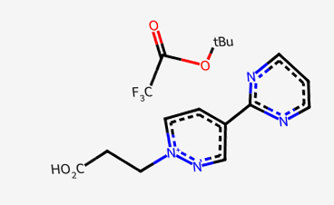 CC(C)(C)OC(=O)C(F)(F)F.O=C(O)CC[n+]1ccc(-c2ncccn2)cn1